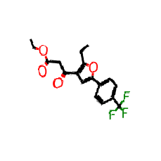 CCOC(=O)CC(=O)c1cc(-c2ccc(C(F)(F)F)cc2)oc1CC